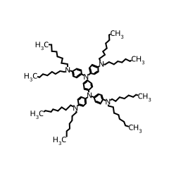 CCCCCCCCN(CCCCCCCC)c1ccc(N(c2ccc(N(CCCCCCCC)CCCCCCCC)cc2)c2ccc(N(c3ccc(N(CCCCCCCC)CCCCCCCC)cc3)c3ccc(N(CCCCCCCC)CCCCCCCC)cc3)cc2)cc1